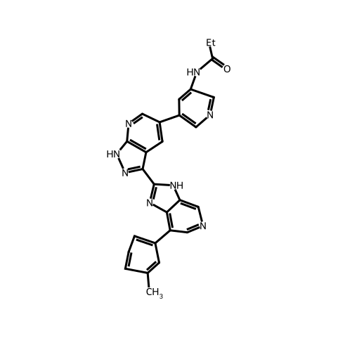 CCC(=O)Nc1cncc(-c2cnc3[nH]nc(-c4nc5c(-c6cccc(C)c6)cncc5[nH]4)c3c2)c1